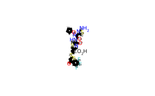 Nc1nc(C(=NOC2CCCC2)C(=O)NC2C(=O)N3CC(C=CSc4cc(=O)c5cc(F)c(F)c(F)c5s4)(C(=O)O)CS[C@H]23)cs1